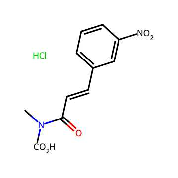 CN(C(=O)O)C(=O)C=Cc1cccc([N+](=O)[O-])c1.Cl